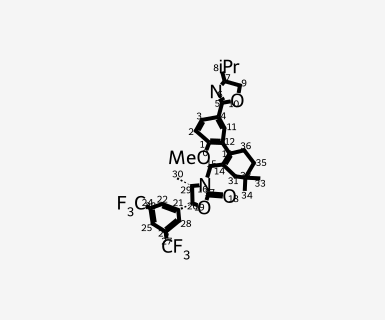 COc1ccc(C2=NC(C(C)C)CO2)cc1C1=C(CN2C(=O)O[C@H](c3cc(C(F)(F)F)cc(C(F)(F)F)c3)[C@@H]2C)CC(C)(C)CC1